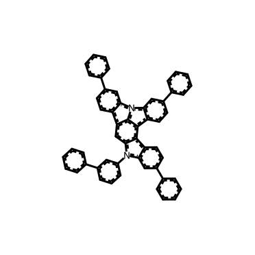 c1ccc(-c2cccc(-n3c4cc(-c5ccccc5)ccc4c4c5c6ccc(-c7ccccc7)cc6n6c7cc(-c8ccccc8)ccc7c(cc43)c56)c2)cc1